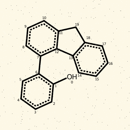 Oc1ccccc1-c1cccc2c1-c1ccccc1C2